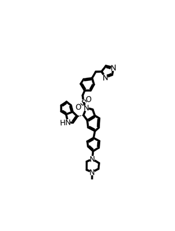 CN1CCN(c2ccc(-c3ccc4c(c3)[C@H](c3c[nH]c5ccccc35)N(S(=O)(=O)Cc3ccc(CC5C=NC=N5)cc3)C4)cc2)CC1